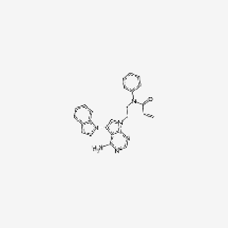 C=CC(=O)N(CCn1cc(-n2ccc3ccccc32)c2c(N)ncnc21)c1ccccc1